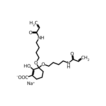 C=CC(=O)NCCCCOC1(OCCCCNC(=O)C=C)CCCC(C(=O)[O-])=C1O.[Na+]